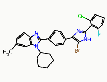 Cc1ccc2nc(-c3ccc(-c4nc(-c5c(F)cccc5Cl)[nH]c4Br)cc3)n(C3CCCCC3)c2c1